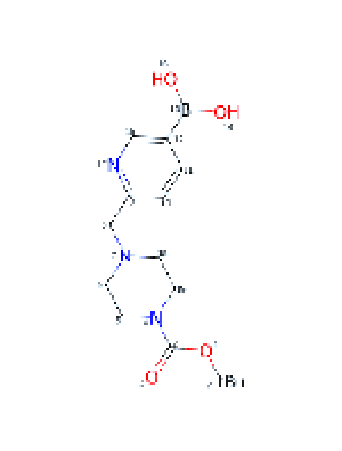 CC(C)(C)OC(=O)N1CCN(Cc2ccc(B(O)O)cn2)CC1